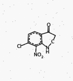 O=C1CCNc2c1ccc(Cl)c2[N+](=O)[O-]